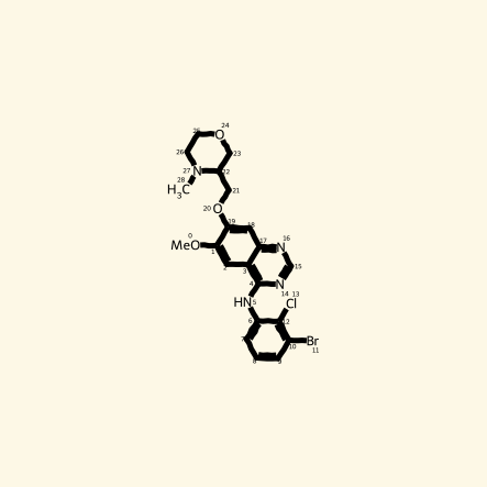 COc1cc2c(Nc3cccc(Br)c3Cl)ncnc2cc1OCC1COCCN1C